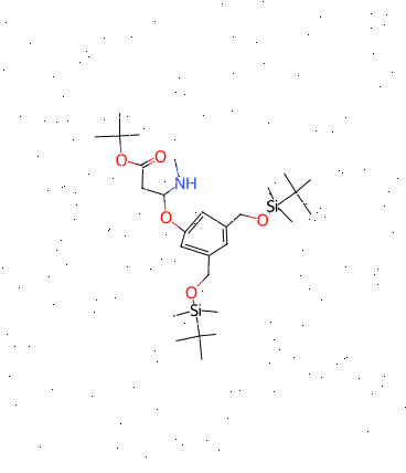 CNC(CC(=O)OC(C)(C)C)Oc1cc(CO[Si](C)(C)C(C)(C)C)cc(CO[Si](C)(C)C(C)(C)C)c1